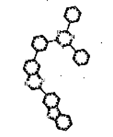 c1ccc(-c2nc(-c3ccccc3)nc(-c3cccc(-c4ccc5ncc(-c6ccc7c(c6)sc6ccccc67)nc5c4)c3)n2)cc1